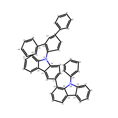 c1ccc(-c2ccc(-n3c4ccccc4c4cc(-c5cccc6c7ccccc7n(-c7ccccc7)c56)ccc43)c(-c3ccccc3)c2)cc1